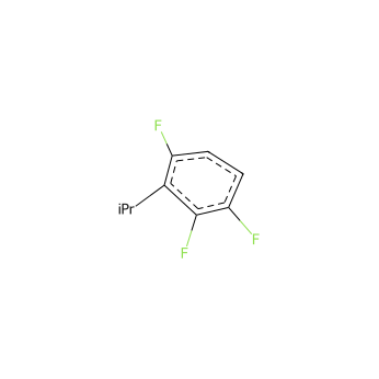 [CH2]C(C)c1c(F)ccc(F)c1F